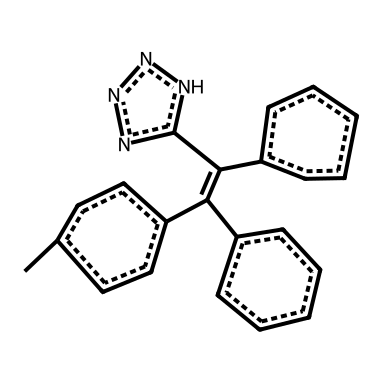 Cc1ccc(C(=C(c2ccccc2)c2nnn[nH]2)c2ccccc2)cc1